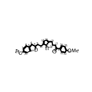 CCOc1ccc(CC(=O)CCC2=CC=C(CCCC(=O)c3ccc(OC)cc3)C2CC)cc1